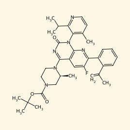 C=C(C)c1ccccc1-c1nc2c(cc1F)c(N1CCN(C(=O)OC(C)(C)C)C[C@@H]1C)nc(=O)n2-c1c(C)ccnc1C(C)C